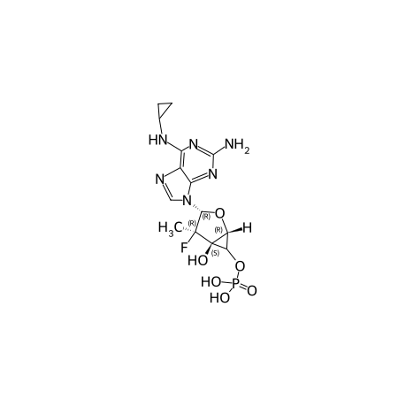 C[C@]1(F)[C@H](n2cnc3c(NC4CC4)nc(N)nc32)O[C@@H]2C(OP(=O)(O)O)[C@@]21O